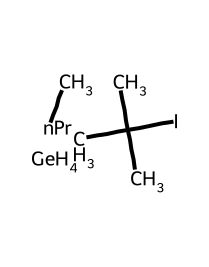 CC(C)(C)I.CCCC.[GeH4]